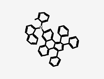 Cc1ccccc1N(c1ccc2c(c1)c1ccccc1c1c(-c3ccccc3)cc(-c3ccccc3)c(-c3ccccc3)c21)c1cccc2ccccc12